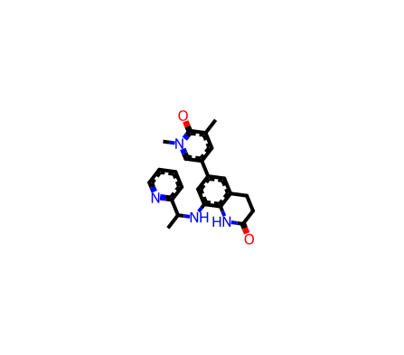 Cc1cc(-c2cc3c(c(NC(C)c4ccccn4)c2)NC(=O)CC3)cn(C)c1=O